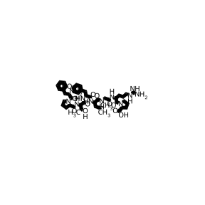 CC(C)CC(NC(=O)C(Cc1ccc(O)cc1)NC(=O)C(NC(=O)C1CCCN1C(=O)C(N)Cc1ccccc1)C(C)O)C(=O)NCC(=O)NC(CCCNC(=N)N)C(=O)N1CCCC1C(=O)O